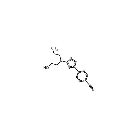 CCCN(CCO)c1nc(-c2ccc(C#N)cc2)cs1